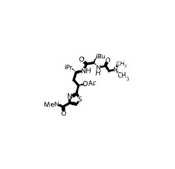 CC[C@H](C)[C@H](NC(=O)CN(C)C)C(=O)N[C@H](C[C@@H](OC(C)=O)c1nc(C(=O)NC)cs1)C(C)C